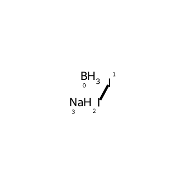 B.II.[NaH]